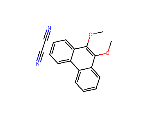 COc1c(OC)c2ccccc2c2ccccc12.N#CC#N